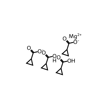 O=C(O)C1CC1.O=C(O)C1CC1.O=C([O-])C1CC1.O=C([O-])C1CC1.[Mg+2]